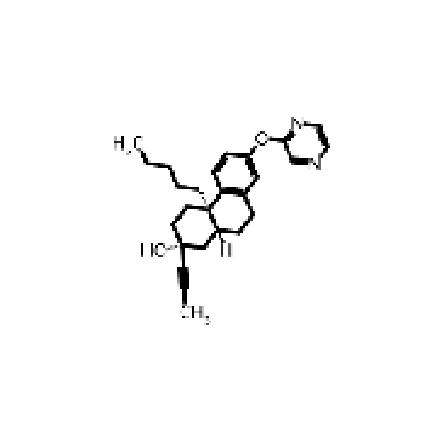 CC#C[C@@]1(O)CC[C@@]2(CCCCC)c3ccc(Oc4cnccn4)cc3CC[C@@H]2C1